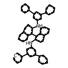 c1ccc(-c2cc(Nc3ccc4ccccc4c3-c3c(Nc4cc(-c5ccccc5)cc(-c5ccccc5)c4)ccc4ccccc34)cc(-c3ccccc3)c2)cc1